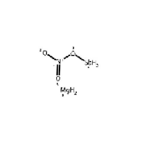 O=[N+]([O-])[O][SbH2].[MgH2]